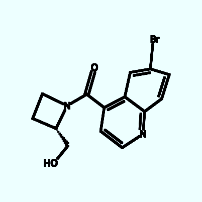 O=C(c1ccnc2ccc(Br)cc12)N1CC[C@H]1CO